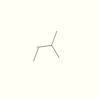 C[C]C(C)C